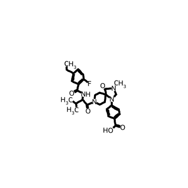 CCc1ccc(F)c(C(=O)NC(C(=O)N2CCC3(CC2)C(=O)N(C)CN3c2ccc(C(=O)O)cc2)C(C)C)c1